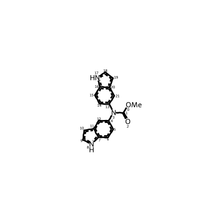 COC(=O)N(c1ccc2[nH]ccc2c1)c1ccc2[nH]ccc2c1